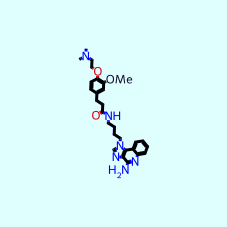 COc1cc(CCC(=O)NCCCCn2cnc3c(N)nc4ccccc4c32)ccc1OCCN(C)C